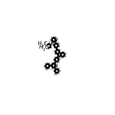 C=C/C=C(\C=C/C)n1c2cc(-c3ccc4c(c3)c3ccccc3n4-c3ccc(-c4cc(-c5ccccc5)cc(-c5ccccc5)n4)cc3)ccc2c2ncccc21